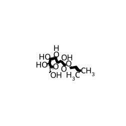 CC(C)=CCOC(=O)C(O)C1O[C@H](CO)[C@@H](O)[C@H](O)[C@H]1O